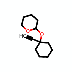 C#CC1(OC2CCCCO2)CCCCC1